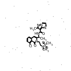 Cc1nn2cccnc2c1C(=O)N[C@@H](C)c1cc2cccc(Cl)c2c(=O)n1CCN(C)S(C)(=O)=O